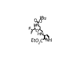 CCOC(=O)c1[nH]ccc1NCC(CNC(=O)OC(C)(C)C)OC(F)C(F)F